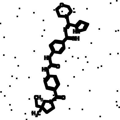 CC[C@@]1(C)CCN(C(=O)c2ccc(NC(=O)Nc3ccc(C(=N)/N=C(\c4ccc[nH]4)N4CCOCC4)cc3)cc2)C1